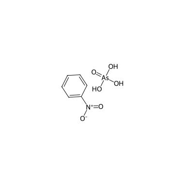 O=[As](O)(O)O.O=[N+]([O-])c1ccccc1